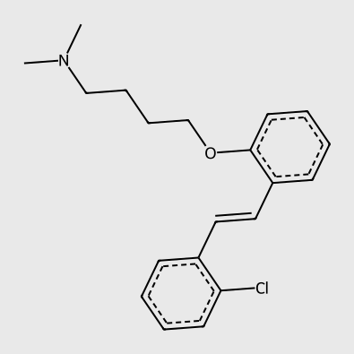 CN(C)CCCCOc1ccccc1C=Cc1ccccc1Cl